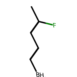 BCCCC(C)F